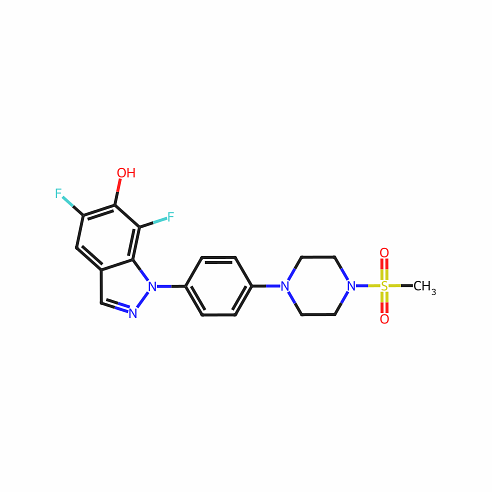 CS(=O)(=O)N1CCN(c2ccc(-n3ncc4cc(F)c(O)c(F)c43)cc2)CC1